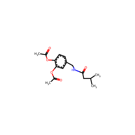 CC(=O)Oc1ccc(CNC(=O)CC(C)C)cc1OC(C)=O